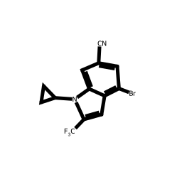 N#Cc1cc(Br)c2cc(C(F)(F)F)n(C3CC3)c2c1